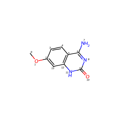 COc1ccc2c(N)nc(=O)[nH]c2c1